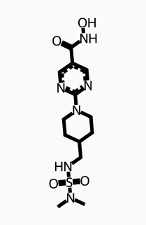 CN(C)S(=O)(=O)NCC1CCN(c2ncc(C(=O)NO)cn2)CC1